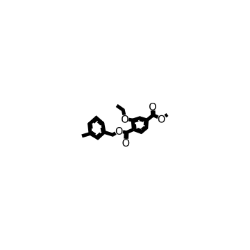 CCOc1cc(C(=O)OC)ccc1C(=O)OCc1cccc(C)c1